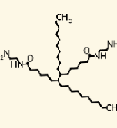 CCCCCCCCCCC(CCCCCC(=O)NCCN)C(CCCCCCCCCC)CCCCCC(=O)NCCN